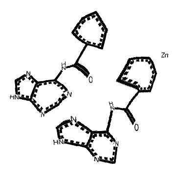 O=C(Nc1ncnc2[nH]cnc12)c1ccccc1.O=C(Nc1ncnc2[nH]cnc12)c1ccccc1.[Zn]